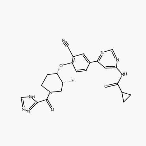 N#Cc1cc(-c2cc(NC(=O)C3CC3)ncn2)ccc1O[C@H]1CCN(C(=O)c2nnc[nH]2)C[C@H]1F